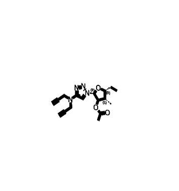 C#CCN(CC#C)c1cn([C@@H]2O[C@H](CC)[C@H](C)C2OC(C)=O)nn1